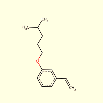 C=Cc1cccc(OCCCC(C)C)c1